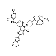 CCc1c(N2CCN(C(=O)c3ncnc(C)c3O)CC2)c(=O)n2nc(-c3cc4c(s3)COCC4)nc2n1CC(=O)Nc1ccc(Cl)cc1Cl